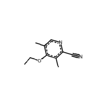 CCOc1c(C)cnc(C#N)c1C